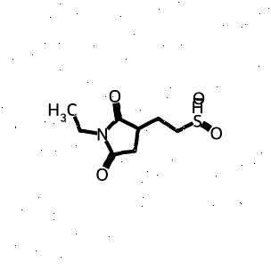 CCN1C(=O)CC(CC[SH](=O)=O)C1=O